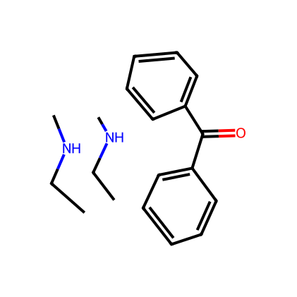 CCNC.CCNC.O=C(c1ccccc1)c1ccccc1